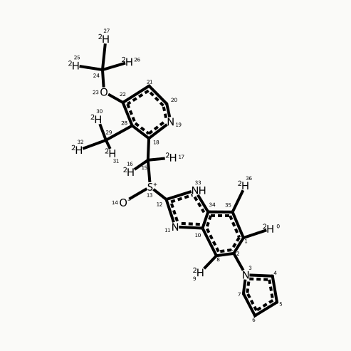 [2H]c1c(-n2cccc2)c([2H])c2nc([S+]([O-])C([2H])([2H])c3nccc(OC([2H])([2H])[2H])c3C([2H])([2H])[2H])[nH]c2c1[2H]